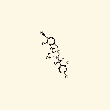 N#Cc1ccc(C[C@H]2CN(S(=O)(=O)c3ccc(Cl)cc3Cl)CC2(O)CO)cc1F